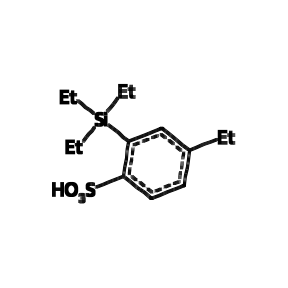 CCc1ccc(S(=O)(=O)O)c([Si](CC)(CC)CC)c1